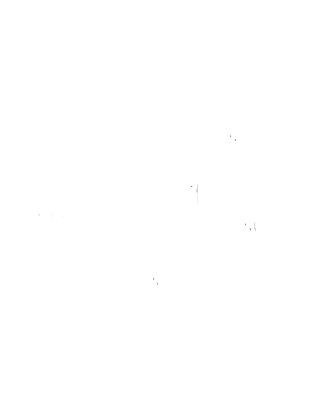 Nc1cccnc1Nc1ccccc1-c1cnccc1C=O